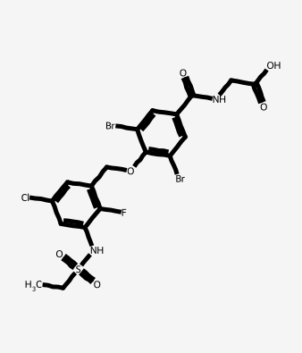 CCS(=O)(=O)Nc1cc(Cl)cc(COc2c(Br)cc(C(=O)NCC(=O)O)cc2Br)c1F